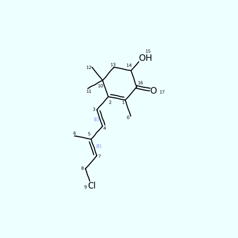 CC1=C(/C=C/C(C)=C/CCl)C(C)(C)CC(O)C1=O